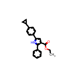 CCOC(=O)c1cc(-c2ccc(C3CC3)cc2)[nH]c1-c1ccccc1